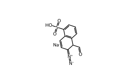 [N-]=[N+]=C1C=Cc2c(cccc2S(=O)(=O)O)C1C=O.[Na]